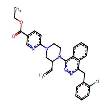 C=C[C@H]1CN(c2ccc(C(=O)OCC)cn2)CCN1c1nnc(Cc2ccccc2Cl)c2ccccc12